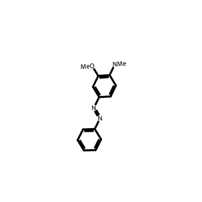 CNc1ccc(/N=N/c2ccccc2)cc1OC